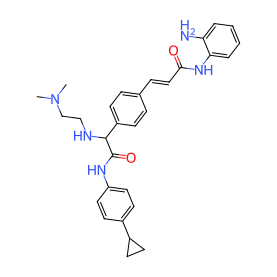 CN(C)CCNC(C(=O)Nc1ccc(C2CC2)cc1)c1ccc(C=CC(=O)Nc2ccccc2N)cc1